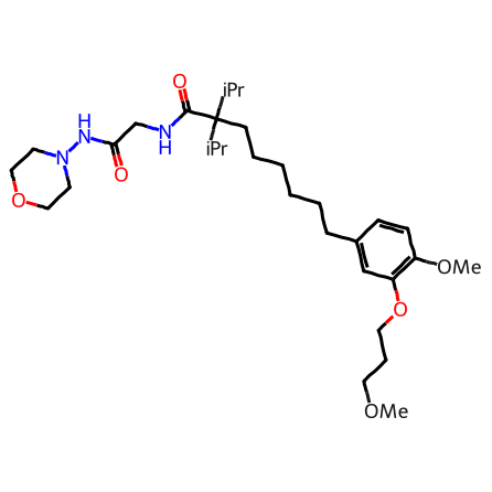 COCCCOc1cc(CCCCCCC(C(=O)NCC(=O)NN2CCOCC2)(C(C)C)C(C)C)ccc1OC